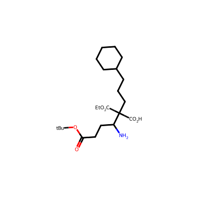 CCOC(=O)C(CCCC1CCCCC1)(C(=O)O)C(N)CCC(=O)OC(C)(C)C